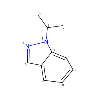 CC(C)n1ncc2ccccc21